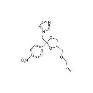 C=CCOCC1COC(Cn2ccnc2)(c2ccc([N+](=O)[O-])cc2)O1